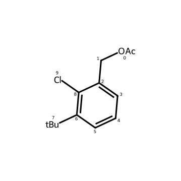 CC(=O)OCc1cccc(C(C)(C)C)c1Cl